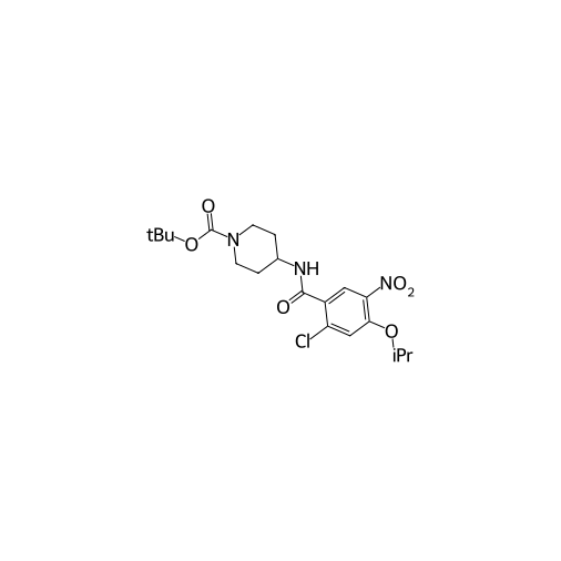 CC(C)Oc1cc(Cl)c(C(=O)NC2CCN(C(=O)OC(C)(C)C)CC2)cc1[N+](=O)[O-]